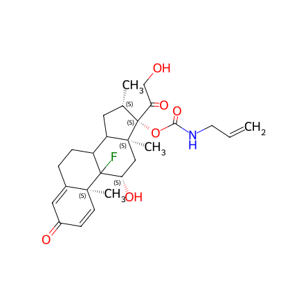 C=CCNC(=O)O[C@@]1(C(=O)CO)[C@@H](C)CC2C3CCC4=CC(=O)C=C[C@]4(C)C3(F)[C@@H](O)C[C@@]21C